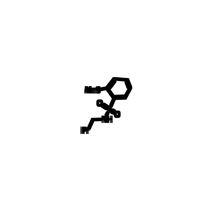 CSc1ccccc1S(=O)(=O)NCC(C)C